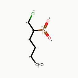 O=CCCCC(CCl)[SH](=O)=O